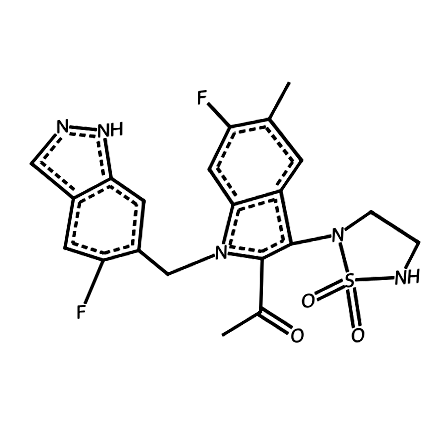 CC(=O)c1c(N2CCNS2(=O)=O)c2cc(C)c(F)cc2n1Cc1cc2[nH]ncc2cc1F